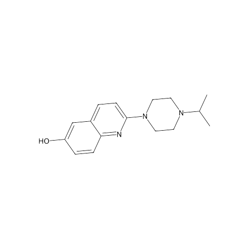 CC(C)N1CCN(c2ccc3cc(O)ccc3n2)CC1